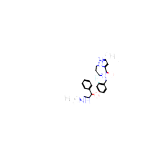 CNCCC(Oc1ccc(CN2CCCn3nc(C)cc3C2=O)c(F)c1)c1ccccc1